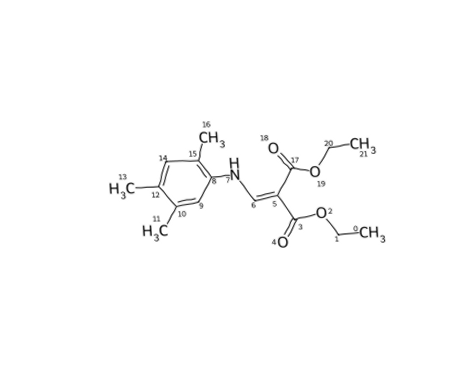 CCOC(=O)C(=CNc1cc(C)c(C)cc1C)C(=O)OCC